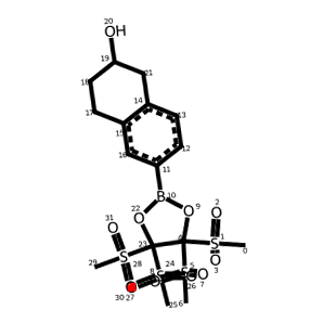 CS(=O)(=O)C1(S(C)(=O)=O)OB(c2ccc3c(c2)CCC(O)C3)OC1(S(C)(=O)=O)S(C)(=O)=O